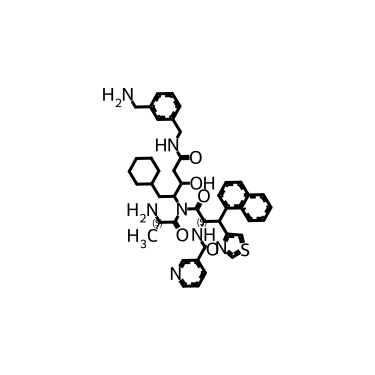 C[C@H](N)C(=O)N(C(=O)[C@@H](NC(=O)c1cccnc1)C(c1cscn1)c1cccc2ccccc12)C(CC1CCCCC1)C(O)CC(=O)NCc1cccc(CN)c1